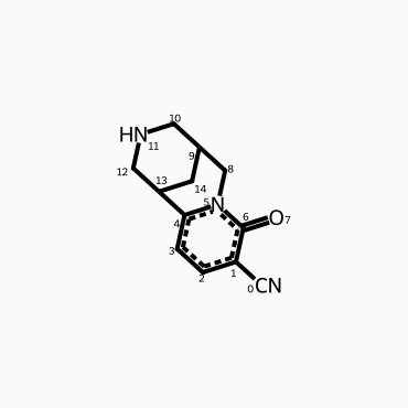 N#Cc1ccc2n(c1=O)CC1CNCC2C1